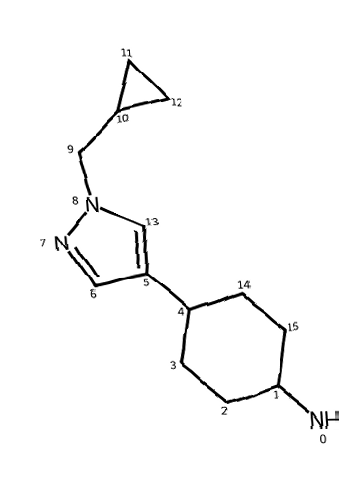 NC1CCC(c2cnn(CC3CC3)c2)CC1